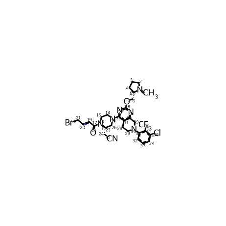 CN1CCC[C@H]1COc1nc2c(c(N3CCN(C(=O)/C=C/CBr)[C@@H](CC#N)C3)n1)CCN(c1cccc(Cl)c1C(F)(F)F)C2